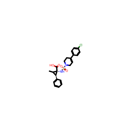 CC1[C@H](c2ccccc2)[C@]1(NS(=O)(=O)N1CC=C(c2ccc(Cl)cc2)CC1)C(=O)O